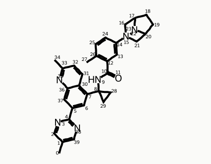 Cc1cnc(-c2cc(C3(NC(=O)c4cc(N5CC6CCC(C5)N6C)ccc4C)CC3)c3ccc(C)nc3c2)nc1